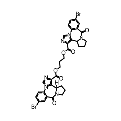 O=C(OCCCOC(=O)c1ncn2c1[C@@H]1CCCN1C(=O)c1cc(Br)ccc1-2)c1ncn2c1C1CCCN1C(=O)c1cc(Br)ccc1-2